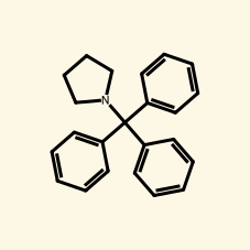 c1ccc(C(c2ccccc2)(c2ccccc2)N2CCCC2)cc1